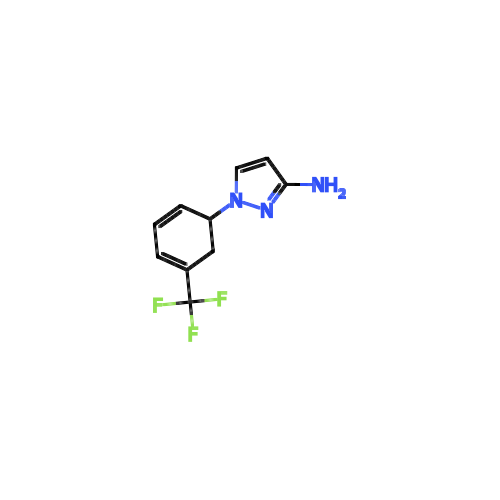 Nc1ccn(C2C=CC=C(C(F)(F)F)C2)n1